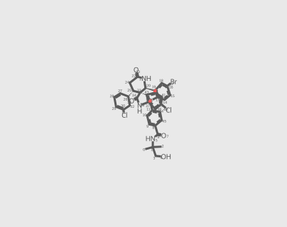 CC(C)(CO)NC(=O)c1ccc(Oc2ccc(Br)cc2[C@@H]2NC(=O)C[C@@H](C3C=CC=C(Cl)C3)[C@]23C(=O)Nc2cc(Cl)ccc23)cc1